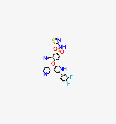 N#Cc1cc(S(=O)(=O)Nc2cscn2)ccc1OC1=C(c2cccnc2)C=C(c2ccc(F)c(F)c2)NC1